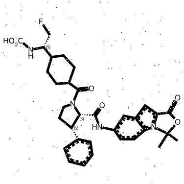 CC1(C)OC(=O)c2cc3cc(NC(=O)[C@@H]4[C@H](c5ccccc5)CCN4C(=O)C4CCC([C@@H](CF)NC(=O)O)CC4)ccc3n21